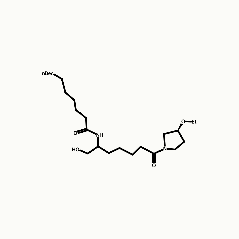 CCCCCCCCCCCCCCCC(=O)NC(CO)CCCCC(=O)N1CC[C@H](OCC)C1